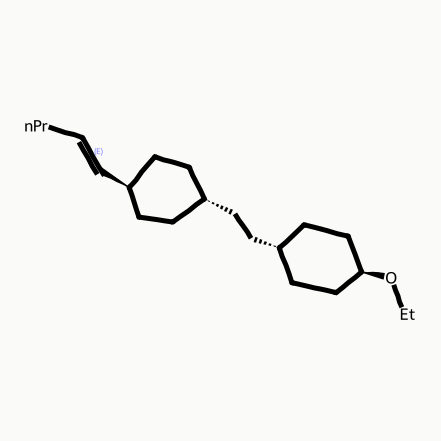 CCC/C=C/[C@H]1CC[C@H](CC[C@H]2CC[C@H](OCC)CC2)CC1